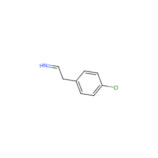 N=CCc1ccc(Cl)cc1